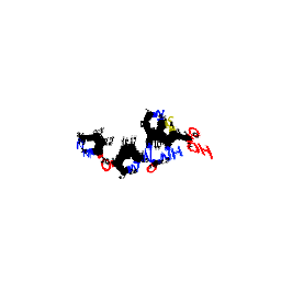 O=C(O)c1sc2nccc3c2c1NC(=O)N3c1ccc(Oc2cccnn2)cn1